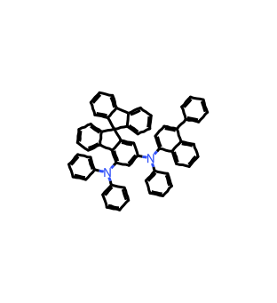 c1ccc(-c2ccc(N(c3ccccc3)c3cc(N(c4ccccc4)c4ccccc4)c4c(c3)C3(c5ccccc5-c5ccccc53)c3ccccc3-4)c3ccccc23)cc1